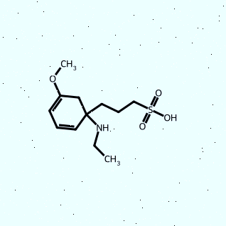 CCNC1(CCCS(=O)(=O)O)C=CC=C(OC)C1